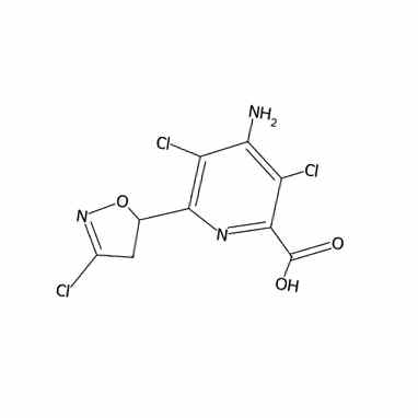 Nc1c(Cl)c(C(=O)O)nc(C2CC(Cl)=NO2)c1Cl